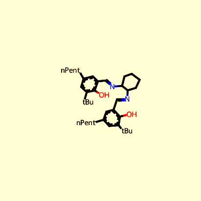 CCCCCc1cc(/C=N/C2CCCCC2/N=C/c2cc(CCCCC)cc(C(C)(C)C)c2O)c(O)c(C(C)(C)C)c1